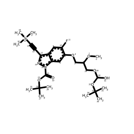 COC(COc1cc2c(cc1F)c(C#C[Si](C)(C)C)nn2C(=O)OC(C)(C)C)COC(O)OC(C)(C)C